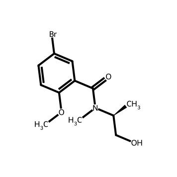 COc1ccc(Br)cc1C(=O)N(C)[C@@H](C)CO